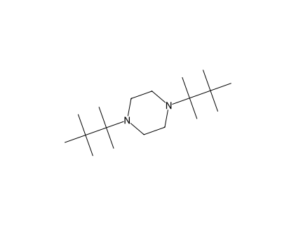 CC(C)(C)C(C)(C)N1CCN(C(C)(C)C(C)(C)C)CC1